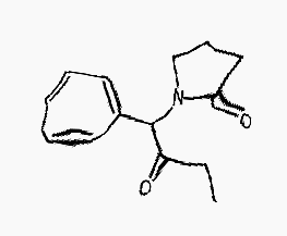 CCC(=O)C(c1ccccc1)N1CCCC1=O